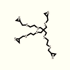 C(CSCC(CSCCSCC1CS1)(CSCCSCC1CS1)CSCC1CS1)SCC1CS1